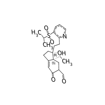 CC[C@]12CC(C=O)C(=O)C=C1CC[C@@]2(O)CCc1ncccc1S(=O)(=O)C(C)C